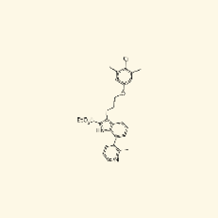 CCOC(=O)c1[nH]c2c(-c3cccnc3C)cccc2c1CCCOc1cc(C)c(Cl)c(C)c1